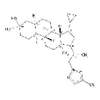 C[C@H](Cn1cc(C#N)cn1)[C@H]1C[C@@H](C2CC2)[C@H]2[C@@H]3CC[C@@H]4C[C@](C)(O)CC[C@@H]4[C@H]3CC[C@@]21C